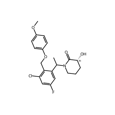 COc1ccc(OCc2c(Cl)cc(F)cc2C(C)N2CCC[C@@H](O)C2=O)cc1